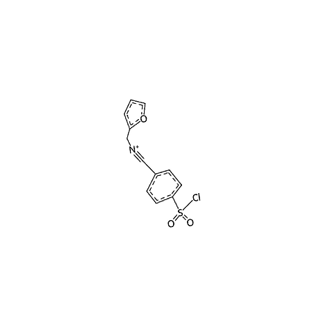 O=S(=O)(Cl)c1ccc(C#[N+]Cc2ccco2)cc1